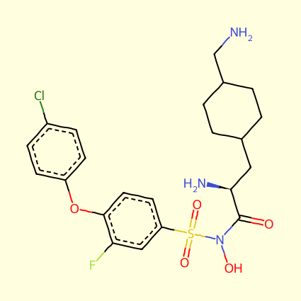 NCC1CCC(C[C@H](N)C(=O)N(O)S(=O)(=O)c2ccc(Oc3ccc(Cl)cc3)c(F)c2)CC1